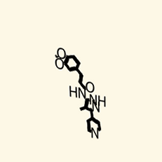 Cc1c(-c2ccncc2)n[nH]c1NC(=O)C=Cc1ccc2c(c1)OCO2